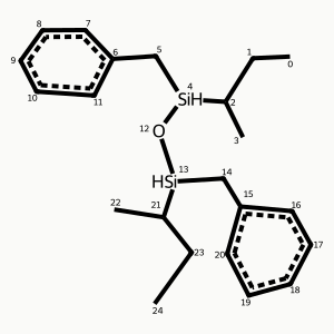 CCC(C)[SiH](Cc1ccccc1)O[SiH](Cc1ccccc1)C(C)CC